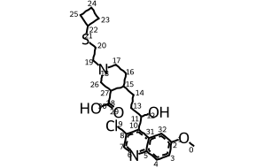 COc1ccc2ncc(Cl)c(C(O)CCC3CCN(CCSC4CCC4)CC3C(=O)O)c2c1